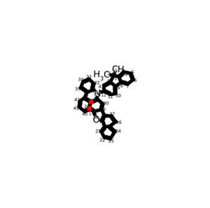 CC1(C)c2ccccc2-c2ccc(N(c3ccc4oc5c6ccccc6ccc5c4c3)c3ccccc3-c3ccccc3)cc21